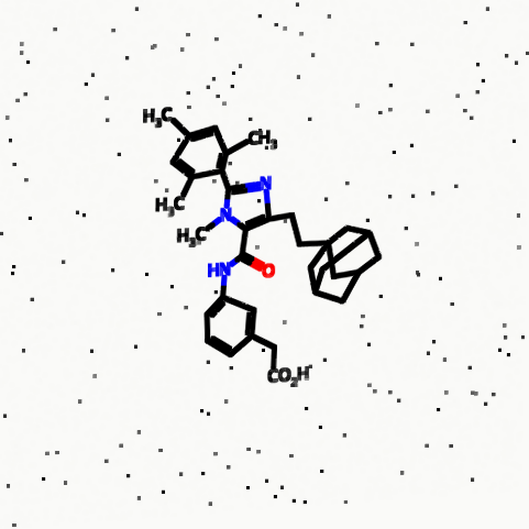 Cc1cc(C)c(-c2nc(CCC34CC5CC(CC(C5)C3)C4)c(C(=O)Nc3cccc(CC(=O)O)c3)n2C)c(C)c1